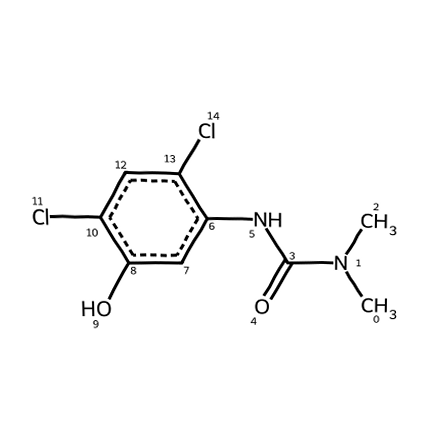 CN(C)C(=O)Nc1cc(O)c(Cl)cc1Cl